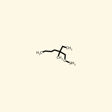 CCCCC(C)(CC)CO[SiH3]